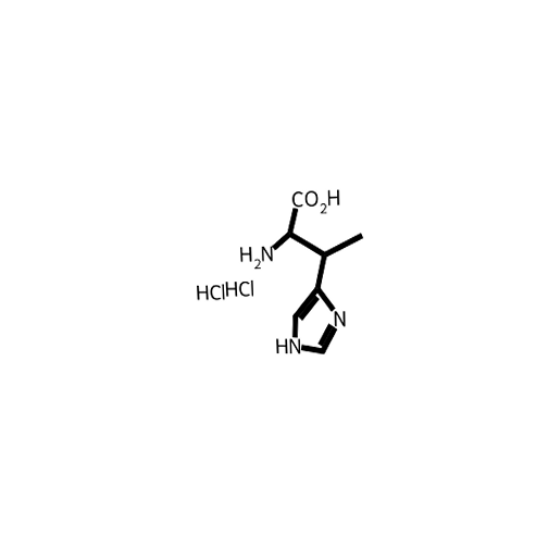 CC(c1c[nH]cn1)C(N)C(=O)O.Cl.Cl